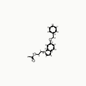 CC(=O)OCCn1ccc2ccc(OCc3ccccc3)cc21